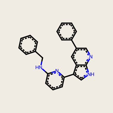 c1ccc(CNc2cccc(-c3c[nH]c4ncc(-c5ccccc5)cc34)n2)cc1